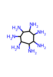 NC1C(N)C(N)C(N)C(N)C(N)C1N